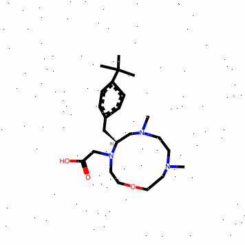 CN1CCOCCN(CC(=O)O)[C@@H](Cc2ccc(C(C)(C)C)cc2)CN(C)CC1